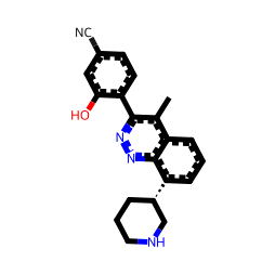 Cc1c(-c2ccc(C#N)cc2O)nnc2c([C@H]3CCCNC3)cccc12